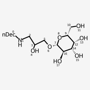 CCCCCCCCCCNCC(O)CO[C@@H]1O[C@H](CO)[C@H](O)[C@H](O)[C@H]1O